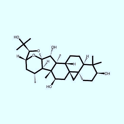 C[C@@H]1C[C@H]2O[C@@]3(O[C@@H]2C(C)(C)O)[C@H](O)[C@@]2(C)[C@@H]4CC[C@H]5C(C)(C)[C@@H](O)CC[C@@]56C[C@@]46C[C@@H](O)[C@]2(C)[C@@H]13